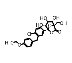 CCOc1ccc(Cc2cc([C@]34OC(=O)[C@](CO)(O3)[C@@H](O)[C@H](O)[C@H]4O)ccc2Cl)cc1